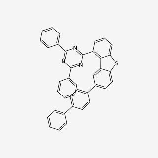 c1ccc(-c2ccc(-c3ccc4sc5cccc(-c6nc(-c7ccccc7)nc(-c7ccccc7)n6)c5c4c3)cc2)cc1